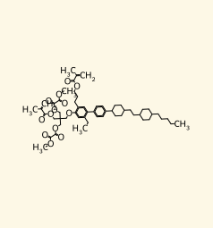 C=C(C)C(=O)OCCCc1cc(-c2ccc(C3CCC(CCC4CCC(CCCCC)CC4)CC3)cc2)c(CC)cc1OCC(COC(=O)C(=C)C)(COC(=O)C(=O)OC)COC(=O)C(=O)OC